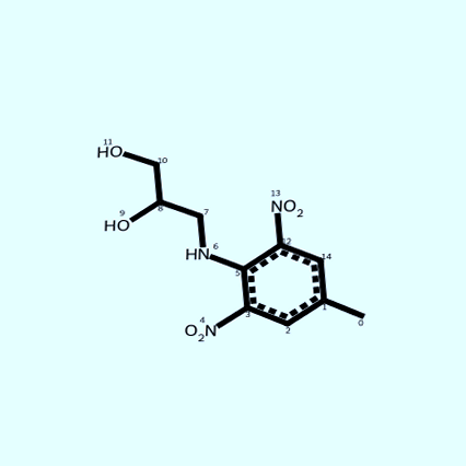 Cc1cc([N+](=O)[O-])c(NCC(O)CO)c([N+](=O)[O-])c1